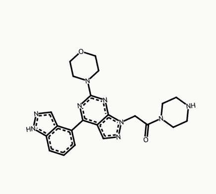 O=C(Cn1ncc2c(-c3cccc4[nH]ncc34)nc(N3CCOCC3)nc21)N1CCNCC1